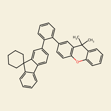 CC1(C)c2ccccc2Oc2ccc(-c3ccccc3-c3ccc4c(c3)C3(CCCCC3)c3ccccc3-4)cc21